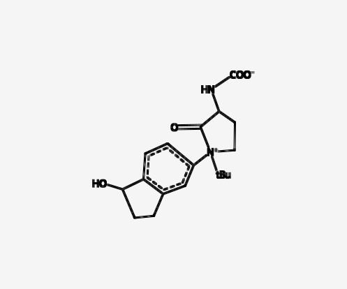 CC(C)(C)[N+]1(c2ccc3c(c2)CCC3O)CCC(NC(=O)[O-])C1=O